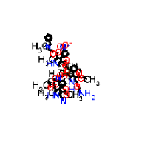 CCOC(=O)C1=C(COCCN)NC(C)=C(C(=O)OC)C1c1ccccc1Cl.COC(=O)C1=C(C#N)NC(C)=C(C(=O)OC(C)C)C1c1cccc([N+](=O)[O-])c1.COC(=O)C1=C(C)NC(C)=C(C(=O)OCCN(C)Cc2ccccc2)C1c1cccc([N+](=O)[O-])c1